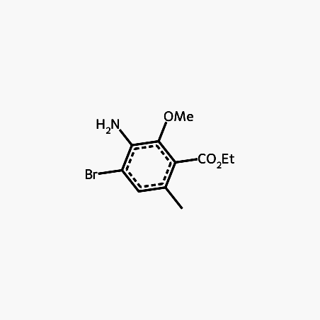 CCOC(=O)c1c(C)cc(Br)c(N)c1OC